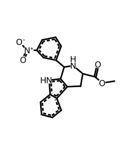 COC(=O)C1Cc2c([nH]c3ccccc23)C(c2cccc([N+](=O)[O-])c2)N1